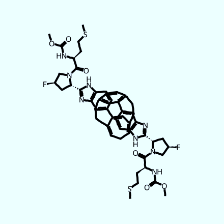 COC(=O)N[C@@H](CCSC)C(=O)N1C[C@H](F)C[C@H]1c1nc2cc(C3=CC4=CCC=C3CCc3ccc(c(-c5ccc6[nH]c([C@@H]7C[C@@H](F)CN7C(=O)[C@H](CCSC)NC(=O)OC)nc6c5)c3)CC4)ccc2[nH]1